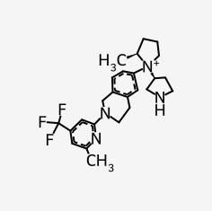 Cc1cc(C(F)(F)F)cc(N2CCc3cc([N+]4([C@H]5CCNC5)CCC[C@@H]4C)ccc3C2)n1